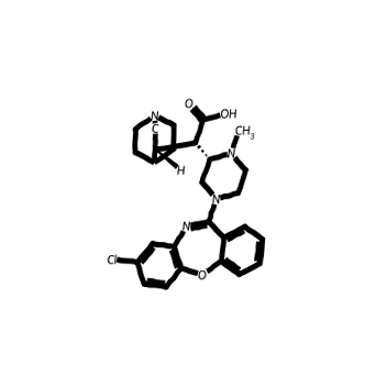 CN1CCN(C2=Nc3cc(Cl)ccc3Oc3ccccc32)C[C@@H]1C(C(=O)O)[C@H]1CN2CCC1CC2